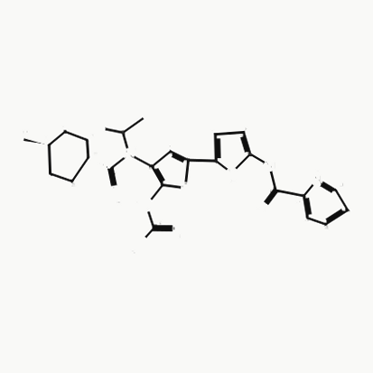 CC(C)N(c1cc(-c2ccc(NC(=O)c3ccccn3)s2)sc1OC(=O)O)C(=O)[C@H]1CC[C@H](C)CC1